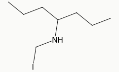 CCCC(CCC)NCI